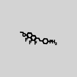 CCOc1ccc2cc(CCC3CCC(P)CC3)c(F)c(F)c2c1F